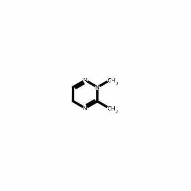 CC1=NCC=NN1C